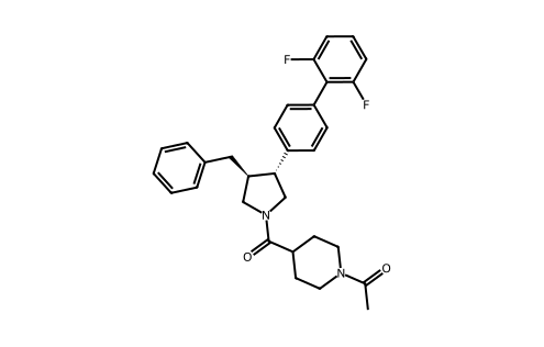 CC(=O)N1CCC(C(=O)N2C[C@@H](Cc3ccccc3)[C@H](c3ccc(-c4c(F)cccc4F)cc3)C2)CC1